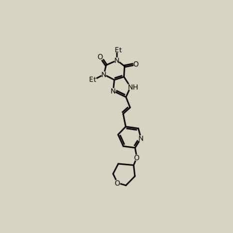 CCn1c(=O)c2[nH]c(C=Cc3ccc(OC4CCOCC4)nc3)nc2n(CC)c1=O